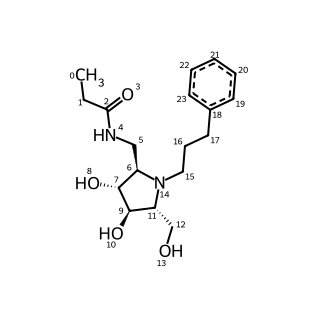 CCC(=O)NC[C@@H]1[C@@H](O)[C@H](O)[C@@H](CO)N1CCCc1ccccc1